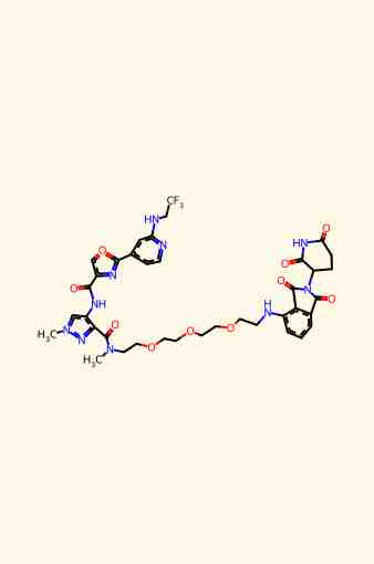 CN(CCOCCOCCOCCNc1cccc2c1C(=O)N(C1CCC(=O)NC1=O)C2=O)C(=O)c1nn(C)cc1NC(=O)c1coc(-c2ccnc(NCC(F)(F)F)c2)n1